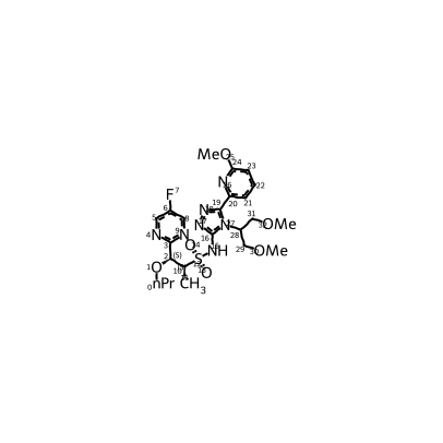 CCCO[C@@H](c1ncc(F)cn1)[C@H](C)S(=O)(=O)Nc1nnc(-c2cccc(OC)n2)n1C(COC)COC